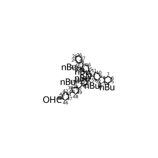 CCCCC1(CCCC)c2ccccc2-c2ccc(N(c3ccc4c(c3)C(CCCC)(CCCC)c3ccccc3-4)c3ccc4c(c3)C(CCCC)(CCCC)c3cc(-c5ccc(C=O)cc5)ccc3-4)cc21